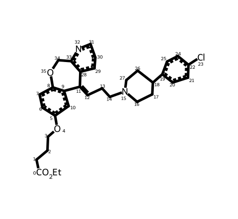 CCOC(=O)CCCOc1ccc2c(c1)/C(=C/CCN1CCC(c3ccc(Cl)cc3)CC1)c1cccnc1CO2